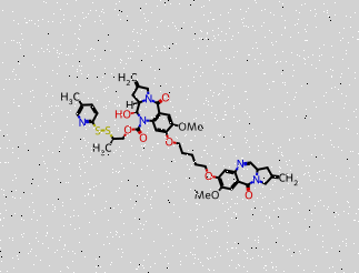 C=C1CC2C=Nc3cc(OCCCCCOc4cc5c(cc4OC)C(=O)N4CC(=C)C[C@H]4[C@H](O)N5C(=O)OC[C@@H](C)SSc4ccc(C)cn4)c(OC)cc3C(=O)N2C1